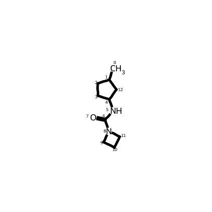 CC1CCC(NC(=O)N2CCC2)C1